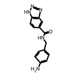 Nc1ccc(CNC(=O)c2ccc3[nH]nnc3c2)cc1